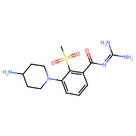 CS(=O)(=O)c1c(C(=O)N=C(N)N)cccc1N1CCC(N)CC1